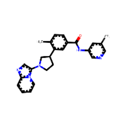 Cc1ccc(C(=O)Nc2cncc(C(F)(F)F)c2)cc1C1CCN(c2cnc3ccccn23)C1